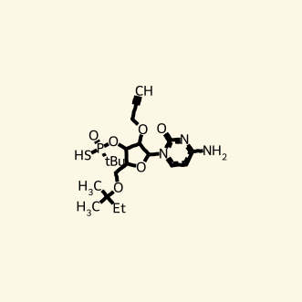 C#CCOC1C(OP(=O)(S)C(C)(C)C)C(COC(C)(C)CC)OC1n1ccc(N)nc1=O